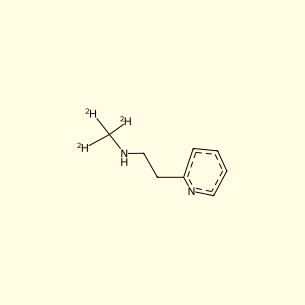 [2H]C([2H])([2H])NCCc1ccccn1